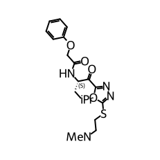 CNCCSc1nnc(C(=O)[C@H](CC(C)C)NC(=O)COc2ccccc2)o1